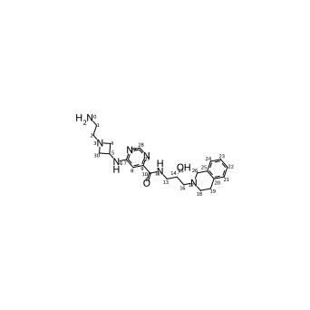 NCCN1CC(Nc2cc(C(=O)NC[C@H](O)CN3CCc4ccccc4C3)ncn2)C1